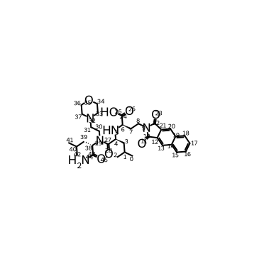 CC(C)C[C@H](N[C@H](CCN1C(=O)c2cc3ccccc3cc2C1=O)C(=O)O)C(=O)N(CCN1CCOCC1)[C@@H](CC(C)C)C(N)=O